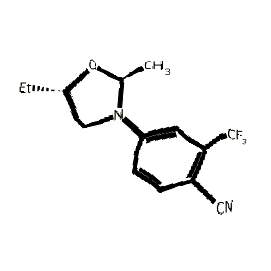 CC[C@H]1CN(c2ccc(C#N)c(C(F)(F)F)c2)[C@H](C)O1